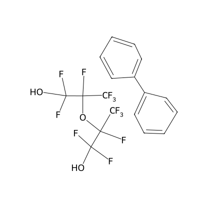 OC(F)(F)C(F)(OC(F)(C(O)(F)F)C(F)(F)F)C(F)(F)F.c1ccc(-c2ccccc2)cc1